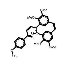 COc1cc(/C=C\c2cc(OC)c(OC)c(OC)c2)cc(N/C=C\C(=O)c2ccc(OC(F)(F)F)cc2)c1OC